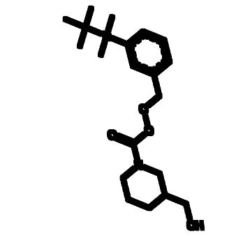 CC(C)(C)[Si](C)(C)c1cccc(COOC(=O)N2CCCC(CO)C2)c1